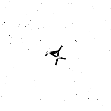 C[C]1=[Ge]([CH3])[Ge]1([CH3])[CH3]